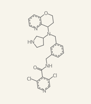 O=C(NCc1cccc(CN(C2CCNC2)C2CCOc3cccnc32)c1)c1c(Cl)cncc1Cl